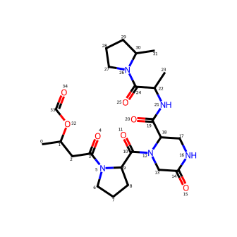 CC(CC(=O)N1CCCC1C(=O)N1CC(=O)NCC1C(=O)NC(C)C(=O)N1CCCC1C)OC=O